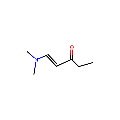 CCC(=O)C=CN(C)C